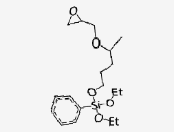 CCO[Si](OCC)(OCCCC(C)OCC1CO1)c1ccccc1